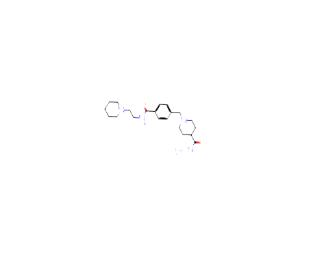 CN(CCN1CC[CH]CC1)C(=O)c1ccc(CN2CCC(C(N)=O)CC2)cc1